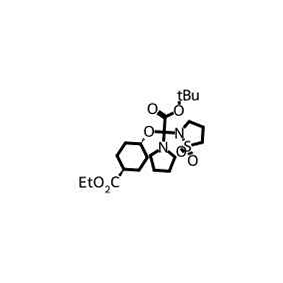 CCOC(=O)[C@H]1CC[C@H](OC(C(=O)OC(C)(C)C)(N2CCCC2)N2CCCS2(=O)=O)CC1